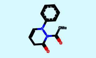 COC(=O)N1C(=O)CC=CN1c1ccccc1